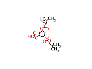 CC(C)COC(=O)OC1CC(OC(=O)O)CC(OC(=O)OCC(C)C)C1